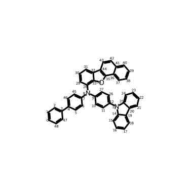 c1ccc(-c2ccc(N(c3ccc(-n4c5ccccc5c5ccccc54)cc3)c3cccc4c3oc3c5ccccc5ccc43)cc2)cc1